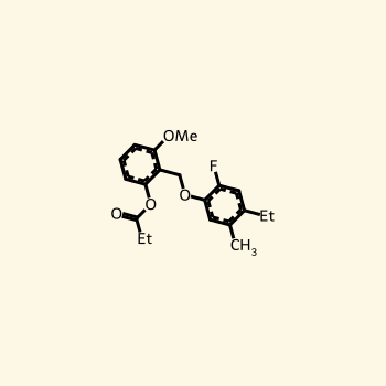 CCC(=O)Oc1cccc(OC)c1COc1cc(C)c(CC)cc1F